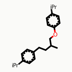 CC(CCc1ccc(C(C)C)cc1)COc1ccc(C(C)C)cc1